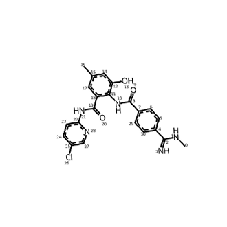 CNC(=N)c1ccc(C(=O)Nc2c(O)cc(C)cc2C(=O)Nc2ccc(Cl)cn2)cc1